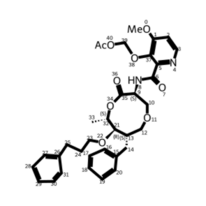 COc1ccnc(C(=O)N[C@H]2COC[C@H](Cc3ccccc3)[C@@H](OCCCc3ccccc3)[C@H](C)OC2=O)c1OCOC(C)=O